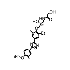 CCc1cc(-c2noc(-c3ccc(OC(C)C)c(C)c3)n2)cc(C)c1OC[C@H](O)CNC(=O)CO